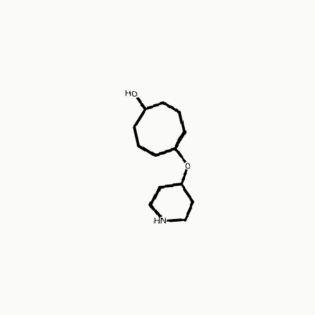 OC1CCCC(OC2CCNCC2)CCC1